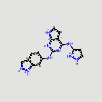 c1cc(Nc2nc(Nc3ccc4cn[nH]c4c3)nc3[nH]ccc23)[nH]n1